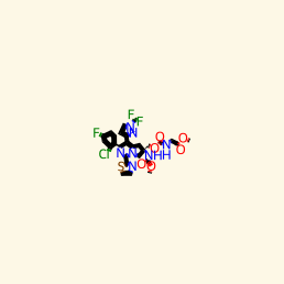 COC(=O)CNC(=O)OC[C@@]1(NC(=O)OC)CC2=C(c3ccn(C(F)F)n3)[C@H](c3ccc(F)cc3Cl)N=C(c3nccs3)N2C1